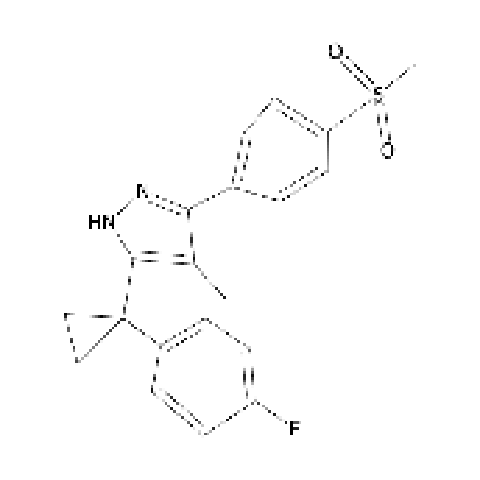 Cc1c(-c2ccc(S(C)(=O)=O)cc2)n[nH]c1C1(c2ccc(F)cc2)CC1